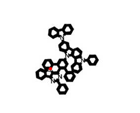 c1ccc(-c2nc(-c3c(-c4ccccc4)cc(-n4c5ccc(-n6c7ccccc7c7ccccc76)cc5c5ccc6c(c7ccccc7n6-c6ccccc6)c54)cc3-c3ccccc3)c3sc4ccccc4c3n2)cc1